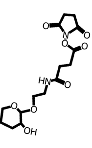 O=C(CCC(=O)ON1C(=O)CCC1=O)NCCOC1OCCCC1O